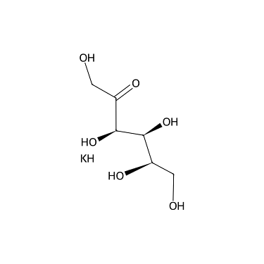 O=C(CO)[C@H](O)[C@@H](O)[C@H](O)CO.[KH]